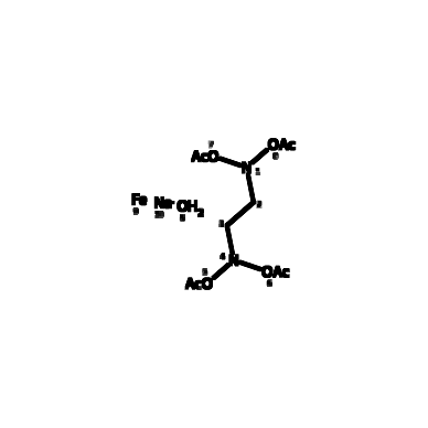 CC(=O)ON(CCN(OC(C)=O)OC(C)=O)OC(C)=O.O.[Fe].[Na]